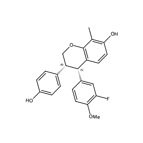 COc1ccc([C@H]2c3ccc(O)c(C)c3OC[C@H]2c2ccc(O)cc2)cc1F